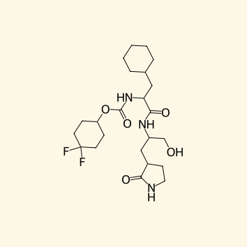 O=C(NC(CC1CCCCC1)C(=O)NC(CO)CC1CCNC1=O)OC1CCC(F)(F)CC1